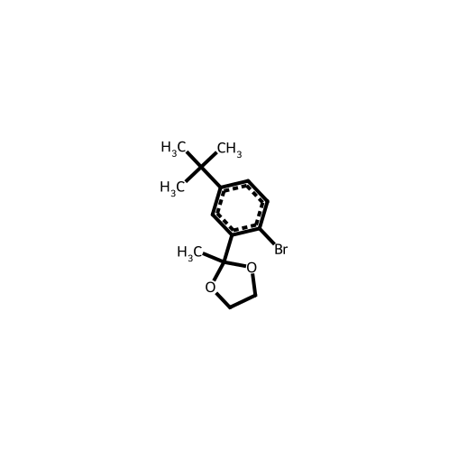 CC(C)(C)c1ccc(Br)c(C2(C)OCCO2)c1